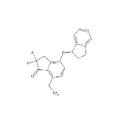 O=C1c2c(SC(F)(F)F)ccc(OC3CCc4ccccc43)c2CC1(F)F